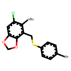 C[CH]CCc1c(Cl)cc2c(c1CSc1ccc(C(C)C)cc1)OCO2